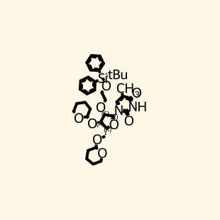 Cc1cn([C@@H]2O[C@H](COC3CCCCO3)[C@@H](OC3CCCCO3)[C@@H]2OCCO[Si](c2ccccc2)(c2ccccc2)C(C)(C)C)c(=O)[nH]c1=O